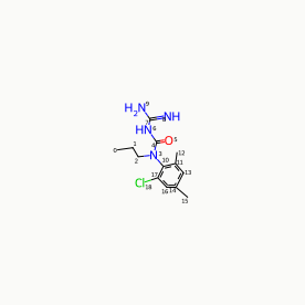 CCCN(C(=O)NC(=N)N)c1c(C)cc(C)cc1Cl